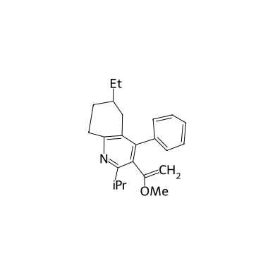 C=C(OC)c1c(C(C)C)nc2c(c1-c1ccccc1)CC(CC)CC2